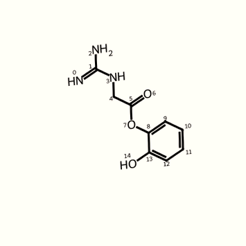 N=C(N)NCC(=O)Oc1ccccc1O